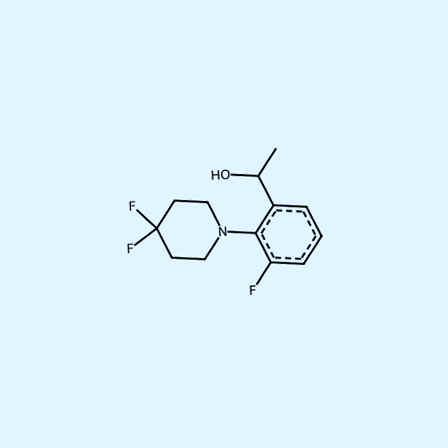 CC(O)c1cccc(F)c1N1CCC(F)(F)CC1